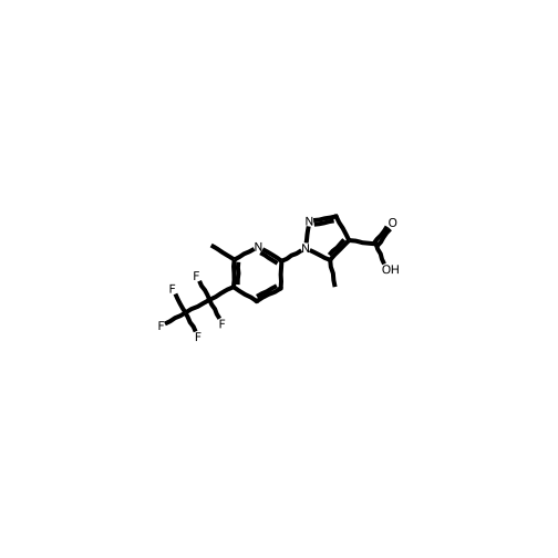 Cc1nc(-n2ncc(C(=O)O)c2C)ccc1C(F)(F)C(F)(F)F